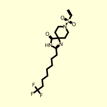 C=CS(=O)(=O)N1CCC2(CC1)N=C(CCCCCCCC(F)(F)F)NC2=O